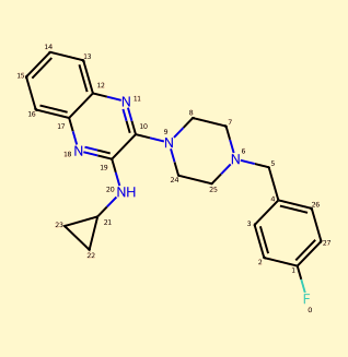 Fc1ccc(CN2CCN(c3nc4ccccc4nc3NC3CC3)CC2)cc1